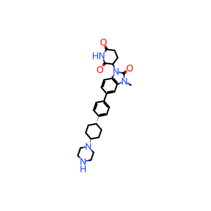 Cn1c(=O)n(C2CCC(=O)NC2=O)c2ccc(-c3ccc([C@H]4CC[C@@H](N5CCNCC5)CC4)cc3)cc21